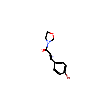 O=C(/C=C/c1ccc(Br)cc1)N1CCOC1